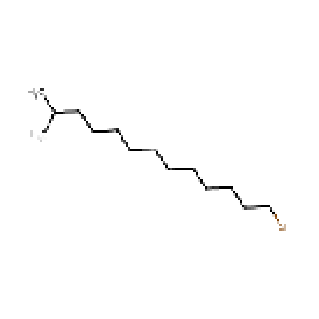 CC(C)CCCCCCCCCCCS